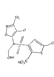 COCN(c1onc(C)c1Cl)S(=O)(=O)c1cc(C)sc1C(=O)O